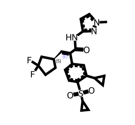 Cn1ccc(NC(=O)/C(=C/[C@H]2CCC(F)(F)C2)c2ccc(S(=O)(=O)C3CC3)c(C3CC3)c2)n1